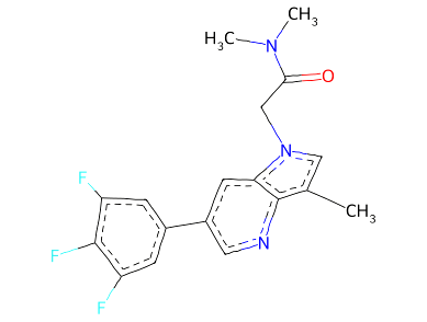 Cc1cn(CC(=O)N(C)C)c2cc(-c3cc(F)c(F)c(F)c3)cnc12